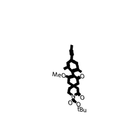 CC#Cc1cc(C)c(C2=C(OC)CC3(CCN(C(=O)OC(C)(C)C)C(=O)C3)CC2=O)c(C)c1